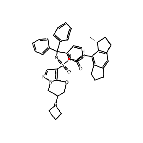 C[C@@H]1CCc2cc3c(c(NC(=O)NS(=O)(=NC(c4ccccc4)(c4ccccc4)c4ccccc4)c4cnn5c4OC[C@@H](N4CCC4)C5)c21)CCC3